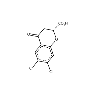 O=C1C[C@H](C(=O)O)Oc2cc(Cl)c(Cl)cc21